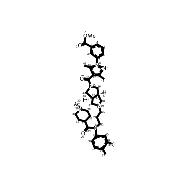 COC(=O)c1cccc(-n2nc(C)c(C(=O)N3C[C@H]4CN(CCCN(C(=O)C5CCN(C(C)=O)CC5)c5ccc(C)c(Cl)c5)C[C@H]4C3)c2C)c1